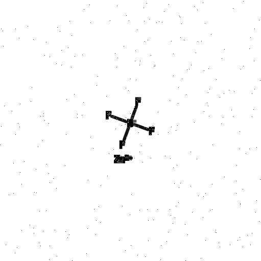 F[B-](F)(F)F.[Zn+2]